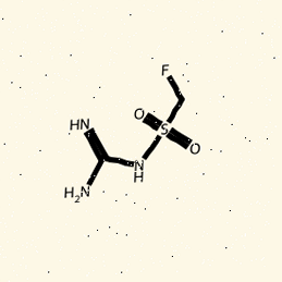 N=C(N)NS(=O)(=O)CF